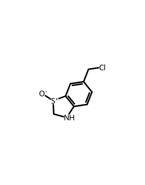 [O-][S+]1CNc2ccc(CCl)cc21